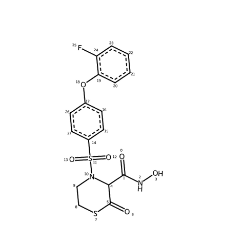 O=C(NO)C1C(=O)SCCN1S(=O)(=O)c1ccc(Oc2ccccc2F)cc1